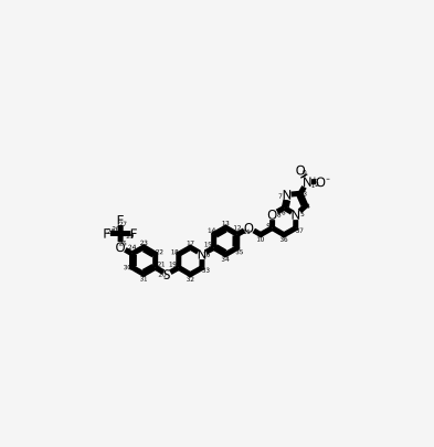 O=[N+]([O-])c1cn2c(n1)OC(COc1ccc(N3CCC(Sc4ccc(OC(F)(F)F)cc4)CC3)cc1)CC2